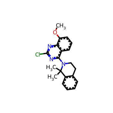 COc1cccc2c(N3CCc4ccccc4C3(C)C)nc(Cl)nc12